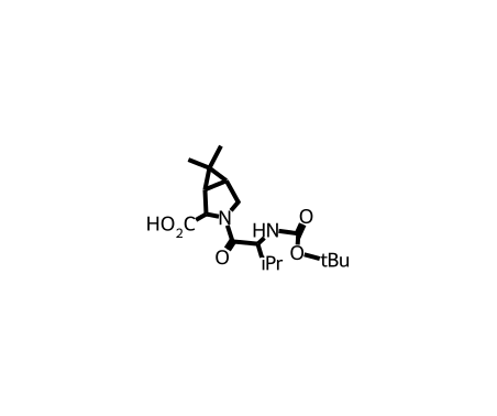 CC(C)C(NC(=O)OC(C)(C)C)C(=O)N1CC2C(C1C(=O)O)C2(C)C